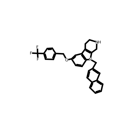 FC(F)(F)c1ccc(COc2ccc3c(c2)c2c(n3Cc3ccc4ccccc4c3)CNCC2)cc1